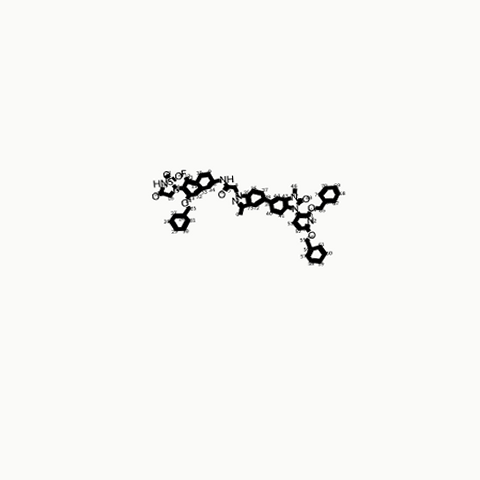 Cc1nn(CC(=O)Nc2ccc3c(F)c(N4CC(=O)NS4(=O)=O)c(OCc4ccccc4)cc3c2)c2ccc(-c3ccc4c(c3)n(C)c(=O)n4-c3ccc(OCc4ccccc4)nc3OCc3ccccc3)cc12